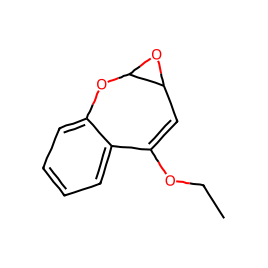 CCOC1=CC2OC2Oc2ccccc21